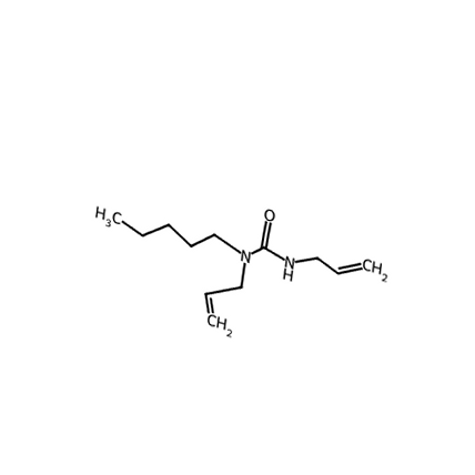 C=CCNC(=O)N(CC=C)CCCCC